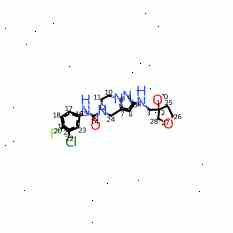 COC1(CNc2cc3n(n2)CCN(C(=O)Nc2ccc(F)c(Cl)c2)C3)CCOC1